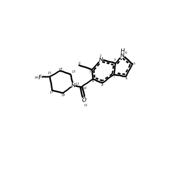 Cc1nc2[nH]ccc2cc1C(=O)N1CCC(F)CC1